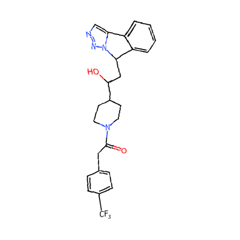 O=C(Cc1ccc(C(F)(F)F)cc1)N1CCC(C(O)CC2c3ccccc3-c3cnnn32)CC1